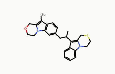 CC(Cc1ccc2c(C(C)(C)C)c3n(c2c1)CCOC3)c1c2n(c3ccccc13)CCSC2